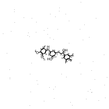 COc1cc(C)c(Nc2nc(O)cc(CCC(O)c3cc(F)c(F)c(F)c3)n2)cc1OC